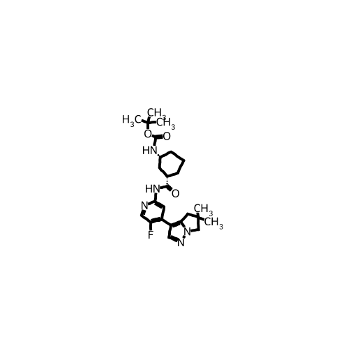 CC1(C)Cc2c(-c3cc(NC(=O)[C@H]4CCC[C@@H](NC(=O)OC(C)(C)C)C4)ncc3F)cnn2C1